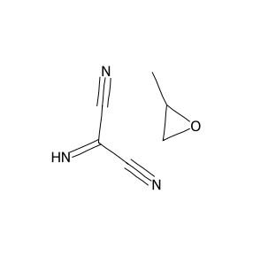 CC1CO1.N#CC(=N)C#N